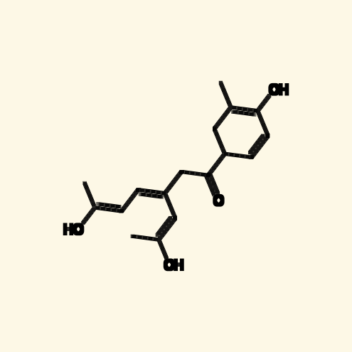 CC1=C(O)C=CC(C(=O)CC(=C/C=C(\C)O)/C=C(\C)O)C1